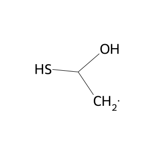 [CH2]C(O)S